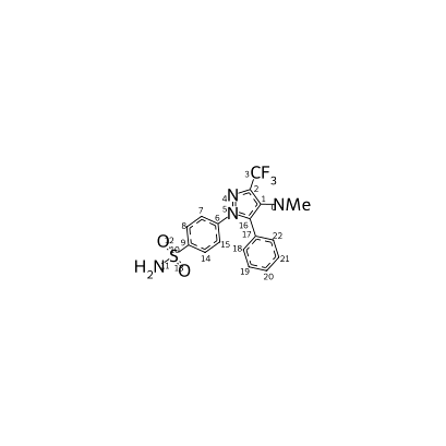 CNc1c(C(F)(F)F)nn(-c2ccc(S(N)(=O)=O)cc2)c1-c1ccccc1